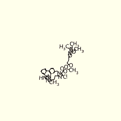 CCCCc1nc(Cl)c(C(=O)OC(C)OC(=O)CCCO/N=[N+](\OC)N(CC)CC)n1Cc1ccc(-c2ccccc2-c2nnn[nH]2)cc1